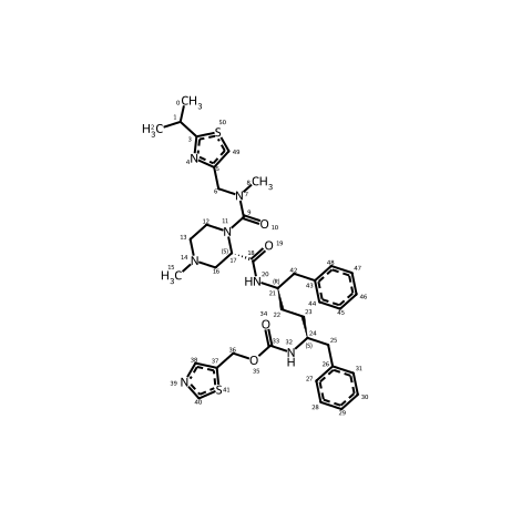 CC(C)c1nc(CN(C)C(=O)N2CCN(C)C[C@H]2C(=O)N[C@H](CC[C@@H](Cc2ccccc2)NC(=O)OCc2cncs2)Cc2ccccc2)cs1